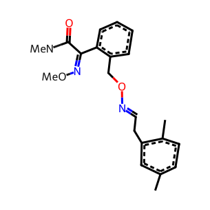 CNC(=O)C(=NOC)c1ccccc1CON=CCc1cc(C)ccc1C